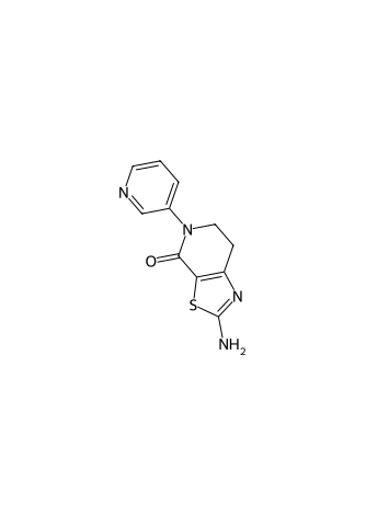 Nc1nc2c(s1)C(=O)N(c1cccnc1)CC2